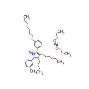 CCCCCCCCc1cccc(C2=C(CCCCCC)C(CCCC)=C(c3cccc(C)c3)[N+]2=[N-])c1.CCC[O][Pd][O]CCC